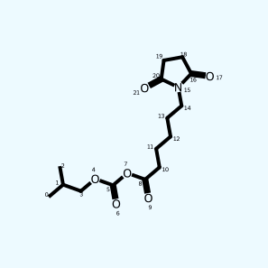 CC(C)COC(=O)OC(=O)CCCCCN1C(=O)CCC1=O